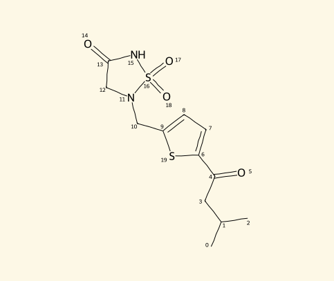 CC(C)CC(=O)c1ccc(CN2CC(=O)NS2(=O)=O)s1